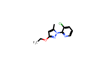 Cc1cc(OCC(F)(F)F)nn1-c1ncccc1Cl